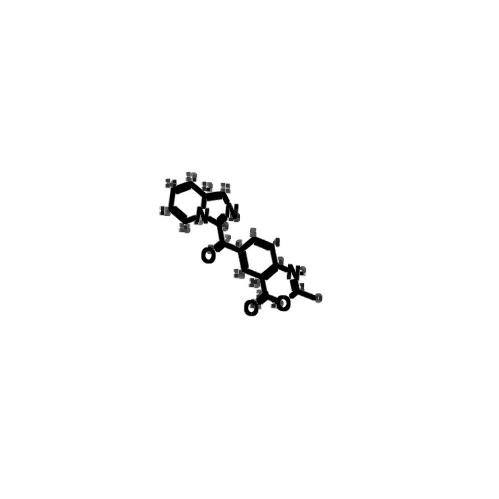 Cc1nc2ccc(C(=O)c3ncc4ccccn34)cc2c(=O)o1